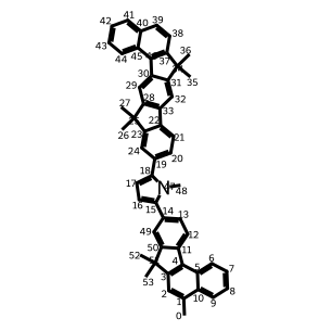 Cc1cc2c(c3ccccc13)-c1ccc(-c3ccc(-c4ccc5c(c4)C(C)(C)c4cc6c(cc4-5)C(C)(C)c4ccc5ccccc5c4-6)n3C)cc1C2(C)C